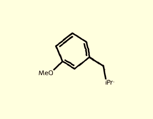 COc1cccc(C[C](C)C)c1